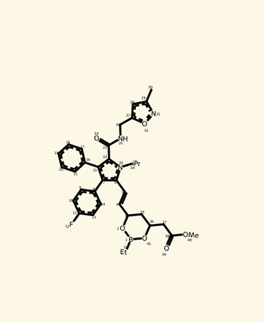 CCB1OC(C=Cc2c(-c3ccc(F)cc3)c(-c3ccccc3)c(C(=O)NCc3cc(C)no3)n2C(C)C)CC(CC(=O)OC)O1